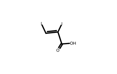 O=C(O)/C(I)=C/I